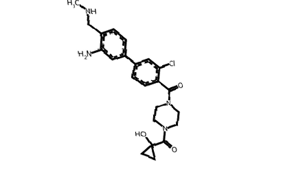 CNCc1ccc(-c2ccc(C(=O)N3CCN(C(=O)C4(O)CC4)CC3)c(Cl)c2)cc1N